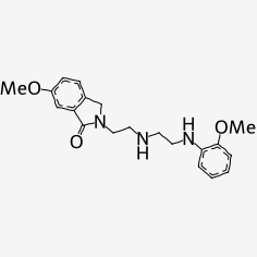 COc1ccc2c(c1)C(=O)N(CCNCCNc1ccccc1OC)C2